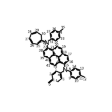 C=C/C=C\C(=C/C)N(c1ccc(C)cc1)c1ccc2ccc3c(N(C4=CC=CC=CC4)c4ccc(C)cc4)ccc4ccc1c2c43